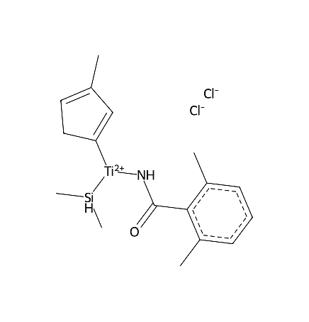 CC1=CC[C]([Ti+2]([NH]C(=O)c2c(C)cccc2C)[SiH](C)C)=C1.[Cl-].[Cl-]